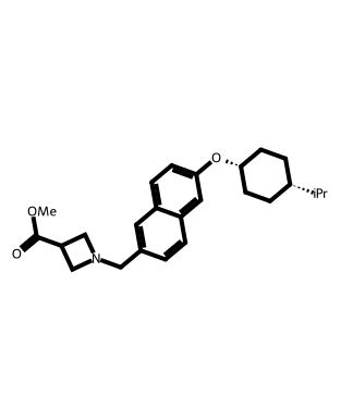 COC(=O)C1CN(Cc2ccc3cc(O[C@H]4CC[C@@H](C(C)C)CC4)ccc3c2)C1